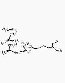 C=C(C)C(=O)O.C=C(C)C(=O)O.C=C(C)C(=O)O.CC.OCCCC(CO)CO